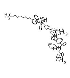 CCCCCCCCCOC(=O)NC(=N)c1ccc(NCc2nc3cc(C(=O)N(CCC(=O)OC)c4ccccn4)ccc3n2C)cc1